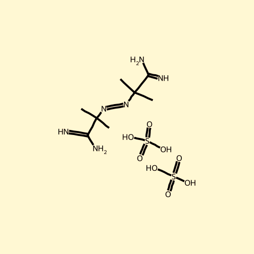 CC(C)(N=NC(C)(C)C(=N)N)C(=N)N.O=S(=O)(O)O.O=S(=O)(O)O